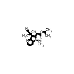 CPn1c(CC(=O)OC(C)C)c(C(C)(C)C#N)c2ncccc21